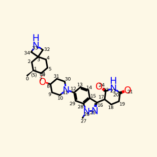 C[C@H]1CC2(CC[C@@H]1OC1CCN(c3ccc4c(C5CCC(=O)NC5=O)nn(C)c4c3)CC1)CNC2